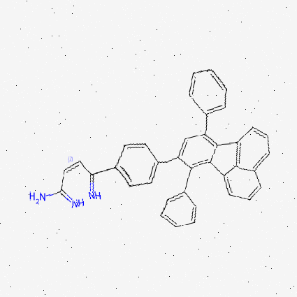 N=C(N)/C=C\C(=N)c1ccc(-c2cc(-c3ccccc3)c3c(c2-c2ccccc2)-c2cccc4cccc-3c24)cc1